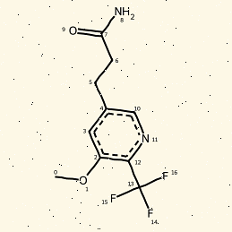 COc1cc([CH]CC(N)=O)cnc1C(F)(F)F